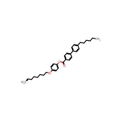 C=CCCCCCCOc1ccc(OC(=O)c2ccc(-c3ccc(CCCCCC)cc3)cc2)cc1